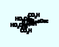 CCCCCCCCCCCCCC(=O)NC(CCC(=O)NC(CCC(=O)O)C(=O)O)C(=O)NC(CCC(=O)O)C(=O)O